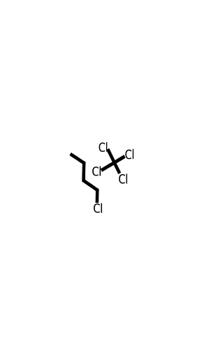 CCCCCl.ClC(Cl)(Cl)Cl